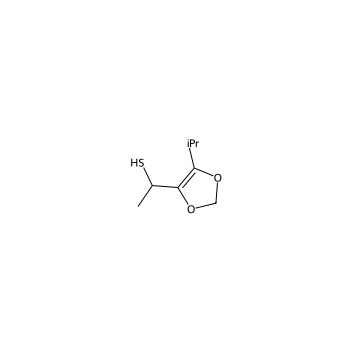 CC(C)C1=C(C(C)S)OCO1